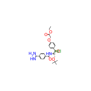 CCOC(=O)COc1ccc(C(=O)[C@H](COC(C)(C)C)NC(=O)c2ccc(C(=N)N)cc2)cc1.Cl